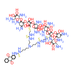 NCC1OC(O[C@@H]2C(N)C[C@@H](N)C(O)[C@H]2OC2O[C@H](CSCCNC(=S)NCCCCN(CCCCCNC(=S)Nc3ccc4c(c3)C(=O)c3ccccc3C4=O)CCCNC(=S)NCCSC[C@H]3OC(O[C@@H]4C(O)[C@H](N)CC(N)[C@H]4OC4OC(CN)[C@@H](O)[C@H](O)C4N)[C@@H](O)[C@H]3O[C@H]3O[C@@H](CN)[C@@H](O)C(O)C3N)[C@H](O[C@H]3O[C@@H](CN)[C@@H](O)C(O)C3N)[C@@H]2O)C(N)[C@@H](O)[C@@H]1O